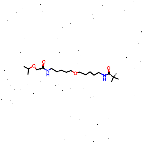 CC(C)OCC(=O)NCCCCCOCCCCCNC(=O)C(C)(C)C